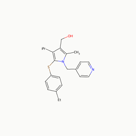 CCc1ccc(Sc2c(C(C)C)c(CO)c(C)n2Cc2ccncc2)cc1